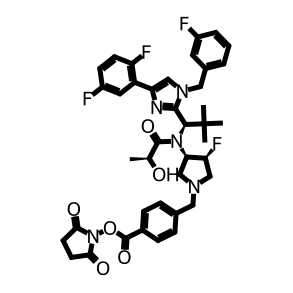 C[C@H](O)C(=O)N([C@@H]1CN(Cc2ccc(C(=O)ON3C(=O)CCC3=O)cc2)C[C@@H]1F)[C@@H](c1nc(-c2cc(F)ccc2F)cn1Cc1cccc(F)c1)C(C)(C)C